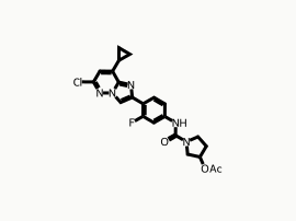 CC(=O)OC1CCN(C(=O)Nc2ccc(-c3cn4nc(Cl)cc(C5CC5)c4n3)c(F)c2)C1